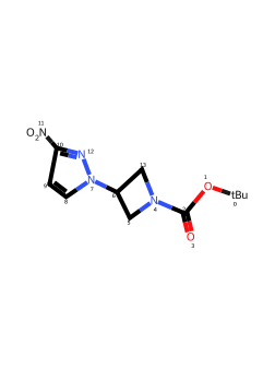 CC(C)(C)OC(=O)N1CC(n2ccc([N+](=O)[O-])n2)C1